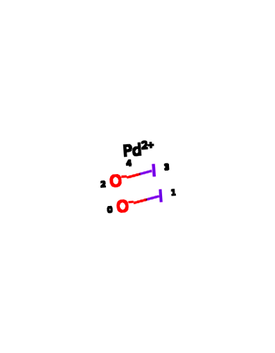 [O-]I.[O-]I.[Pd+2]